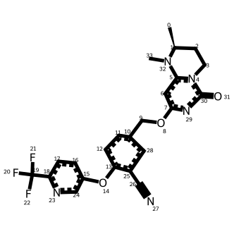 C[C@H]1CCn2c(cc(OCc3ccc(Oc4ccc(C(F)(F)F)nc4)c(C#N)c3)nc2=O)N1C